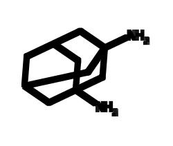 NC12CC3CC(C1)CC(N)(C3)C2